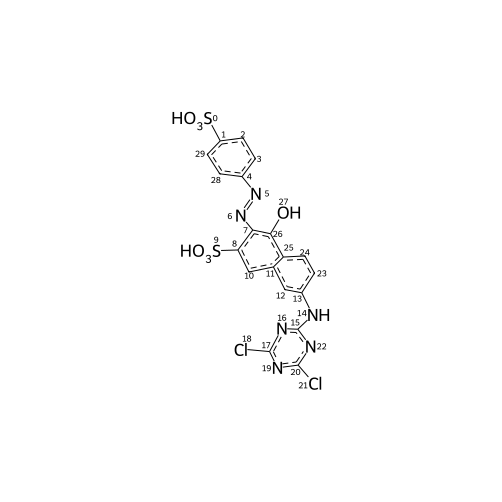 O=S(=O)(O)c1ccc(N=Nc2c(S(=O)(=O)O)cc3cc(Nc4nc(Cl)nc(Cl)n4)ccc3c2O)cc1